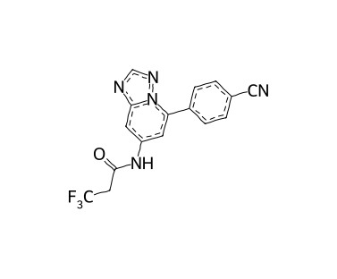 N#Cc1ccc(-c2cc(NC(=O)CC(F)(F)F)cc3ncnn23)cc1